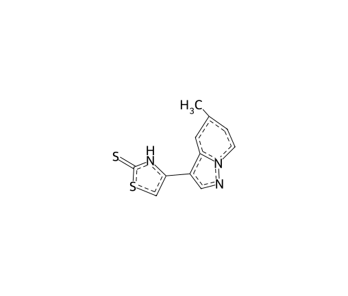 Cc1ccn2ncc(-c3csc(=S)[nH]3)c2c1